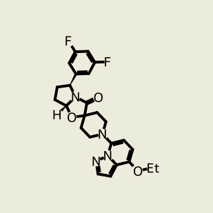 CCOc1ccc(N2CCC3(CC2)O[C@@H]2CC[C@@H](c4cc(F)cc(F)c4)N2C3=O)n2nccc12